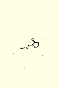 [N-]=[N+]=NCN1CCCC1=O